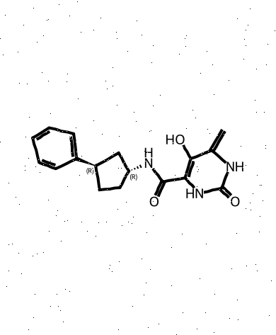 C=C1NC(=O)NC(C(=O)N[C@@H]2CC[C@@H](c3ccccc3)C2)=C1O